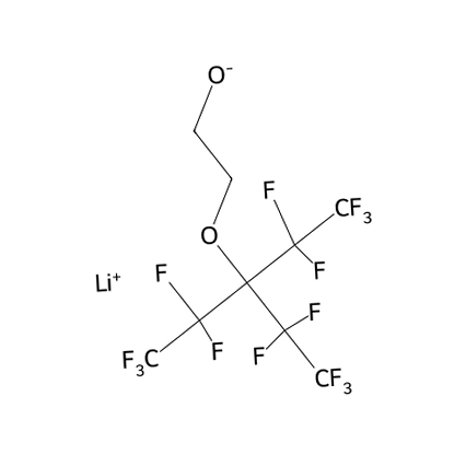 [Li+].[O-]CCOC(C(F)(F)C(F)(F)F)(C(F)(F)C(F)(F)F)C(F)(F)C(F)(F)F